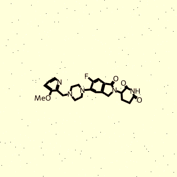 COc1cccnc1CN1CCN(c2cc3c(cc2F)C(=O)N(C2CCC(=O)NC2=O)C3)CC1